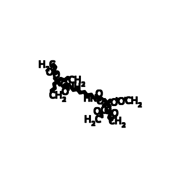 C=CCCC(CCC=C)(COC(=O)C=C)COC(=O)NCCCCCCNC(=O)OCC(COCOC=C)(COC(=O)C=C)COC(=O)C=C